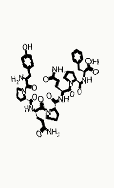 NC(=O)CC[C@H](NC(=O)[C@@H]1CCCN1C(=O)[C@H](CCC(N)=O)NC(=O)[C@@H]1CCCN1C(=O)[C@@H](N)Cc1ccc(O)cc1)C(=O)N1CCC[C@H]1C(=O)N[C@@H](Cc1ccccc1)C(=O)O